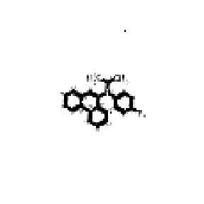 CC(C)N(c1ccc(F)cc1)c1cc2ccccc2c2ccccc12